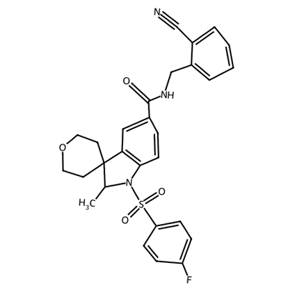 CC1N(S(=O)(=O)c2ccc(F)cc2)c2ccc(C(=O)NCc3ccccc3C#N)cc2C12CCOCC2